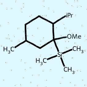 COC1([Si](C)(C)C)CC(C)CCC1C(C)C